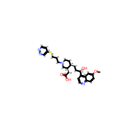 COc1ccc2nccc([C@H](O)CC[C@@H]3CCN(CCCSc4ccnnc4)C[C@@H]3CC(=O)O)c2c1